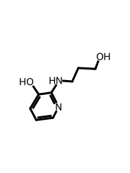 OCCCNc1ncccc1O